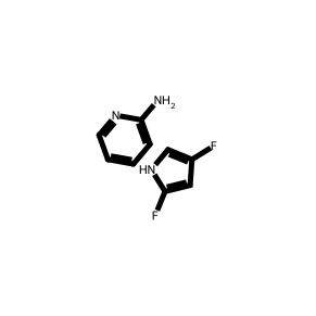 Fc1c[nH]c(F)c1.Nc1ccccn1